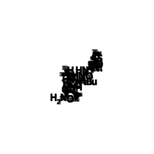 CC[C@H](C)[C@@H](CN(C)S(=O)(=O)c1cccs1)NC(=O)N[C@H](C(=O)N1C[C@H]2[C@@H]([C@H]1C(=O)NC(C(=O)C(N)=O)C1CC1)C2(C)C)C(C)(C)C